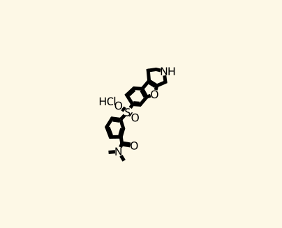 CN(C)C(=O)c1cccc(S(=O)(=O)c2ccc3c4c(oc3c2)CNCC4)c1.Cl